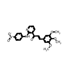 COc1cc(C=CC(=O)c2cccnc2Nc2ccc([N+](=O)[O-])cc2)cc(OC)c1OC